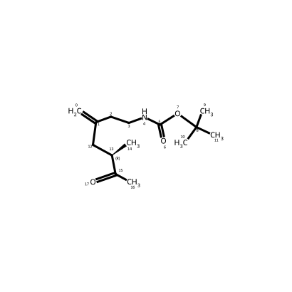 C=C(CCNC(=O)OC(C)(C)C)C[C@@H](C)C(C)=O